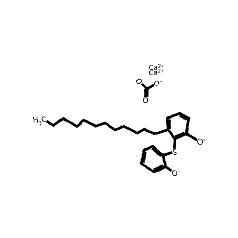 CCCCCCCCCCCCc1cccc([O-])c1Sc1ccccc1[O-].O=C([O-])[O-].[Ca+2].[Ca+2]